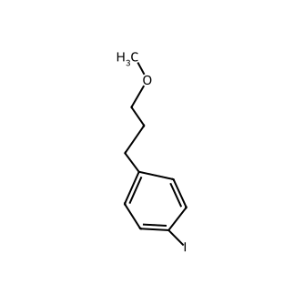 COCCCc1ccc(I)cc1